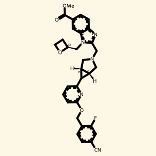 COC(=O)c1ccc2nc(CN3C[C@@H]4C(c5cccc(OCc6ccc(C#N)cc6F)n5)[C@@H]4C3)n(C[C@@H]3CCO3)c2c1